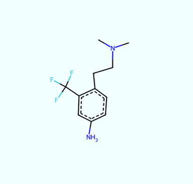 CN(C)CCc1ccc(N)cc1C(F)(F)F